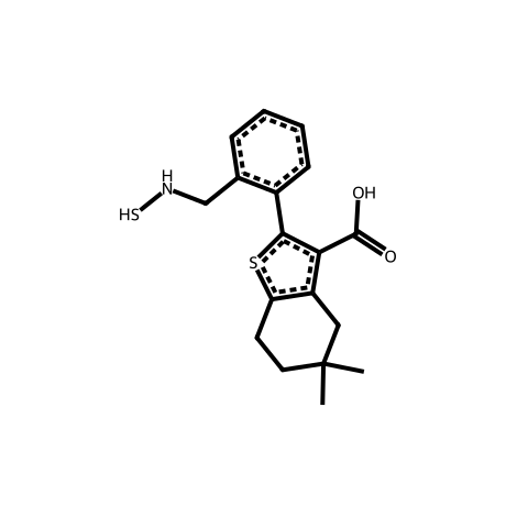 CC1(C)CCc2sc(-c3ccccc3CNS)c(C(=O)O)c2C1